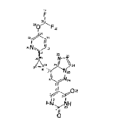 O=c1[nH]cc(-c2cc([C@@H]3C[C@H]3c3ccc(OC(F)F)cn3)c3nccn3n2)c(=O)[nH]1